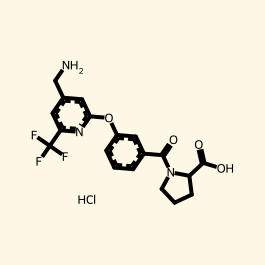 Cl.NCc1cc(Oc2cccc(C(=O)N3CCCC3C(=O)O)c2)nc(C(F)(F)F)c1